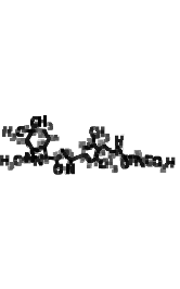 Cc1cc(-c2noc(-c3nn(C)c4c3CCC(C)(C)C4)n2)cc(C)c1CCNC(=O)CNC(=O)O